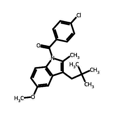 COc1ccc2c(c1)c(CC(C)(C)C)c(C)n2C(=O)c1ccc(Cl)cc1